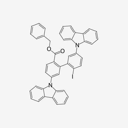 O=C(OCc1ccccc1)c1ccc(-n2c3ccccc3c3ccccc32)cc1-c1cc(-n2c3ccccc3c3ccccc32)ccc1I